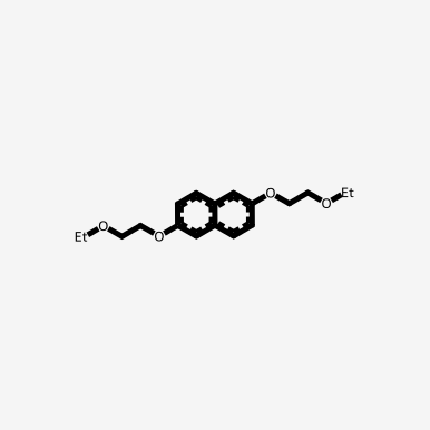 CCOCCOc1ccc2cc(OCCOCC)ccc2c1